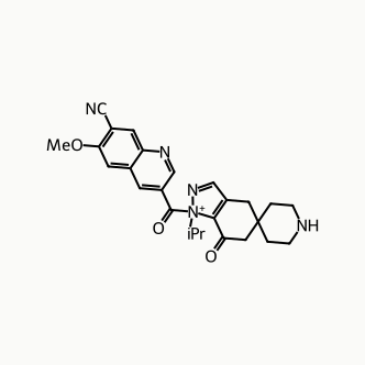 COc1cc2cc(C(=O)[N+]3(C(C)C)N=CC4=C3C(=O)CC3(CCNCC3)C4)cnc2cc1C#N